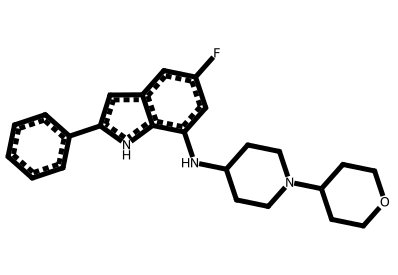 Fc1cc(NC2CCN(C3CCOCC3)CC2)c2[nH]c(-c3ccccc3)cc2c1